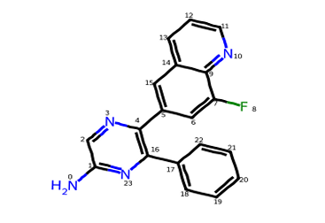 Nc1cnc(-c2cc(F)c3ncccc3c2)c(-c2ccccc2)n1